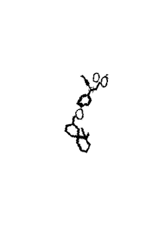 CC#C[C@@H](CC(=O)OC)c1ccc(OCC2CCCC3(C=CCCC3(C)C)C2)cc1